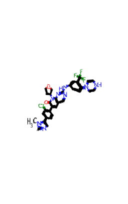 Cn1cncc1-c1ccc(-c2cc3cnc(Nc4ccc(N5CCNCC5)c(C(F)(F)F)c4)nc3n(C3CCOC3)c2=O)c(Cl)c1